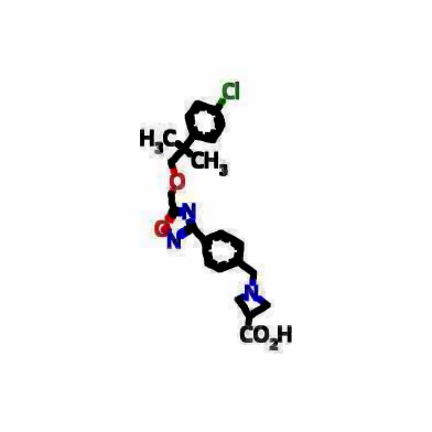 CC(C)(COCc1nc(-c2ccc(CN3CC(C(=O)O)C3)cc2)no1)c1ccc(Cl)cc1